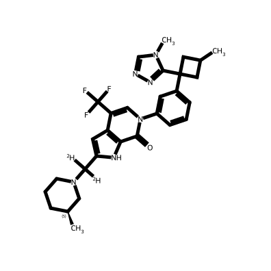 [2H]C([2H])(c1cc2c(C(F)(F)F)cn(-c3cccc(C4(c5nncn5C)CC(C)C4)c3)c(=O)c2[nH]1)N1CCC[C@H](C)C1